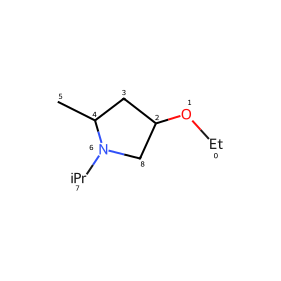 CCOC1CC(C)N(C(C)C)C1